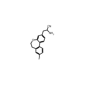 N#CC(N)Cc1ccc2c(c1)OCCc1cc(F)ccc1-2